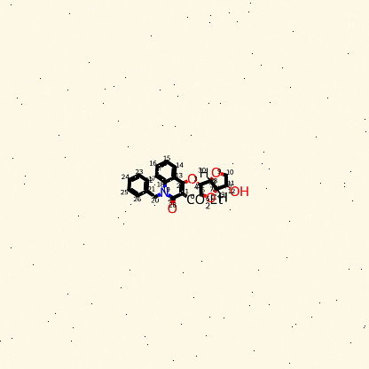 CCOC(=O)c1c(O[C@H]2CO[C@H]3[C@@H]2OC[C@@H]3O)c2ccccc2n(Cc2ccccc2)c1=O